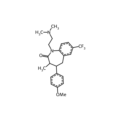 COc1ccc(C2Cc3cc(C(F)(F)F)ccc3N(CCN(C)C)C(=O)C2C)cc1